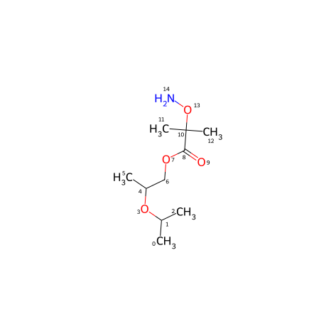 CC(C)OC(C)COC(=O)C(C)(C)ON